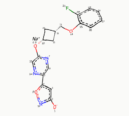 [Na+].[O-]c1cc(-c2cnc(O[C@H]3C[C@@H](COc4ccccc4F)C3)cn2)on1